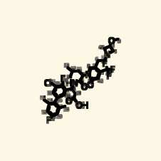 COC1CN(CCc2cn(C(CC(C)C)C(=O)N[C@@H](CC(=O)O)c3cc(-c4c(C)cc(F)cc4C)cc(Cl)c3F)c(=O)cc2C(F)(F)F)C1